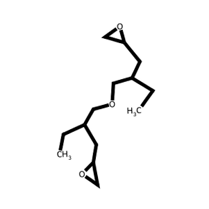 CCC(COCC(CC)CC1CO1)CC1CO1